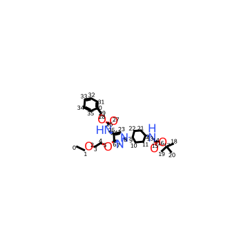 CCOCCOc1nn([C@H]2CC[C@H](NC(=O)OC(C)(C)C)CC2)cc1NC(=O)OCc1ccccc1